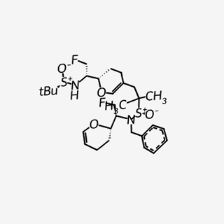 CC(C)(C)[S@@+]([O-])N[C@H](CF)[C@@H]1CCC(CC(C)(C)[S@@+]([O-])N(Cc2ccccc2)[C@H](CF)[C@@H]2CCC=CO2)=CO1